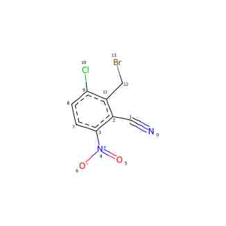 N#Cc1c([N+](=O)[O-])ccc(Cl)c1CBr